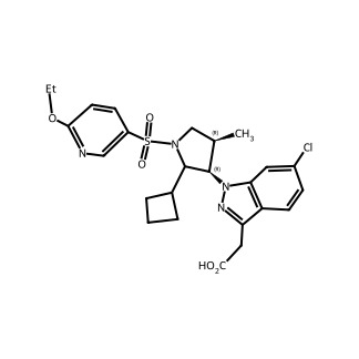 CCOc1ccc(S(=O)(=O)N2C[C@@H](C)[C@@H](n3nc(CC(=O)O)c4ccc(Cl)cc43)C2C2CCC2)cn1